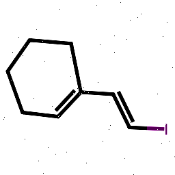 IC=CC1=CCCCC1